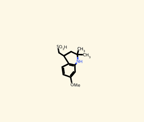 COc1ccc2c(c1)NC(C)(C)CC2CS(=O)(=O)O